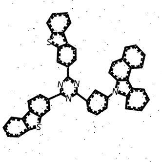 c1cc(-c2nc(-c3ccc4c(c3)sc3ccccc34)nc(-c3ccc4c(c3)sc3ccccc34)n2)cc(-n2c3ccccc3c3c4ccccc4ccc32)c1